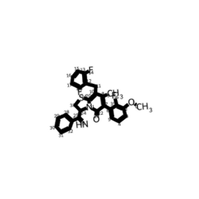 COc1cccc(-c2c(C)c(Cc3c(F)cccc3F)c3n(c2=O)C(C(=N)c2ccccc2)CS3)c1F